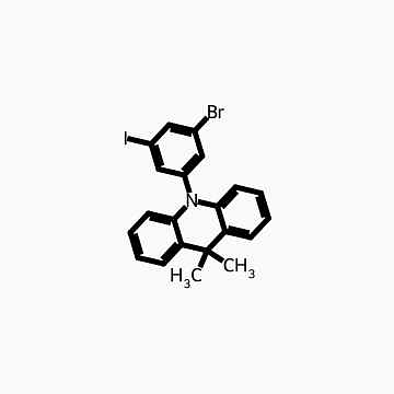 CC1(C)c2ccccc2N(c2cc(Br)cc(I)c2)c2ccccc21